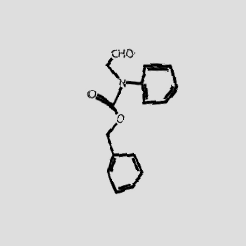 O=[C]CN(C(=O)OCc1ccccc1)c1ccccc1